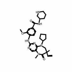 C=CC1(C)CN(C2CCCC2)c2nc(Nc3ccc(C(=O)NC4CCCNC4)cc3OC)ncc2N(C)C1=O